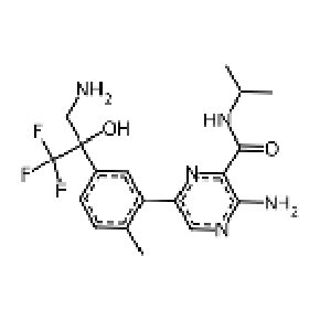 Cc1ccc(C(O)(CN)C(F)(F)F)cc1-c1cnc(N)c(C(=O)NC(C)C)n1